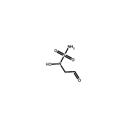 NS(=O)(=O)N(O)CC=O